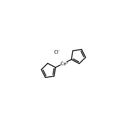 C1=CC[C]([Ce+][C]2=CC=CC2)=C1.[Cl-]